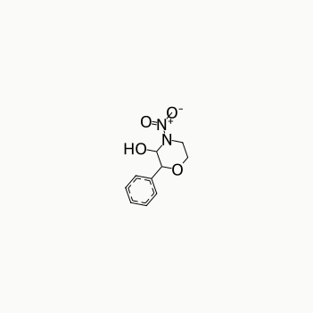 O=[N+]([O-])N1CCOC(c2ccccc2)C1O